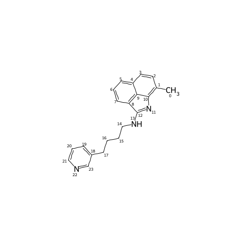 Cc1ccc2cccc3c2c1N=C3NCCCCc1cccnc1